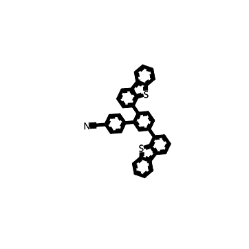 N#Cc1ccc(-c2cc(-c3cccc4c3sc3ccccc34)ccc2-c2cccc3c2sc2ccccc23)cc1